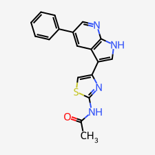 CC(=O)Nc1nc(-c2c[nH]c3ncc(-c4ccccc4)cc23)cs1